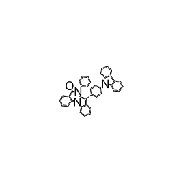 O=c1c2ccccc2n2c3ccccc3c(-c3ccc(-n4c5ccccc5c5ccccc54)cc3)c2n1-c1ccccc1